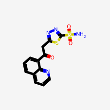 NS(=O)(=O)c1nnc(CC(=O)c2cccc3cccnc23)s1